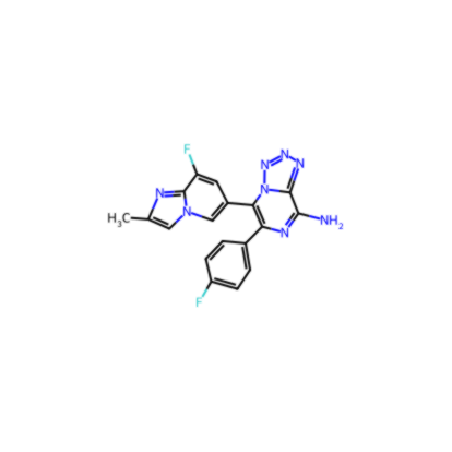 Cc1cn2cc(-c3c(-c4ccc(F)cc4)nc(N)c4nnnn34)cc(F)c2n1